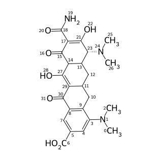 CN(C)c1cc(C(=O)O)cc2c1CC1CC3C(C(=O)C(C(N)=O)=C(O)[C@@H]3N(C)C)C(O)=C1C2=O